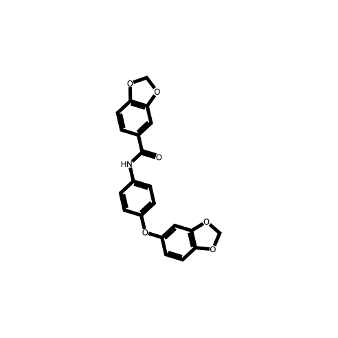 O=C(Nc1ccc(Oc2ccc3c(c2)OCO3)cc1)c1ccc2c(c1)OCO2